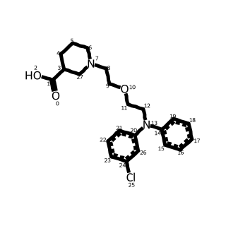 O=C(O)C1CCCN(CCOCCN(c2ccccc2)c2cccc(Cl)c2)C1